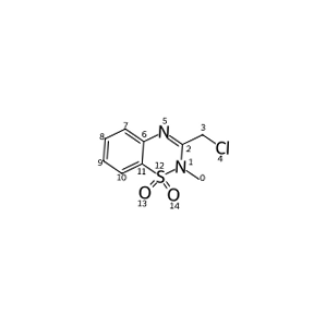 CN1C(CCl)=Nc2ccccc2S1(=O)=O